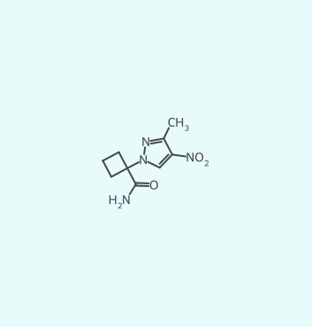 Cc1nn(C2(C(N)=O)CCC2)cc1[N+](=O)[O-]